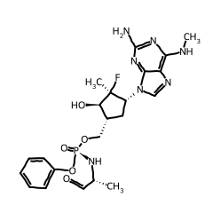 CNc1nc(N)nc2c1ncn2[C@@H]1C[C@H](CO[P@](=O)(N[C@H](C)C=O)Oc2ccccc2)[C@@H](O)[C@@]1(C)F